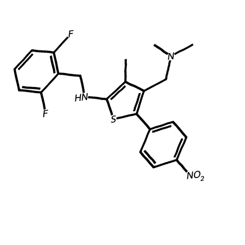 Cc1c(NCc2c(F)cccc2F)sc(-c2ccc([N+](=O)[O-])cc2)c1CN(C)C